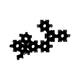 C=CC1=C(C)C(c2ccccc2)(c2ccc(-c3cccc(-c4nc(-c5ccccc5)nc(-c5ccccc5)n4)c3)cc2)c2ccccc21